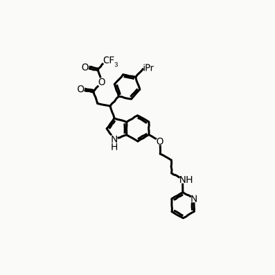 CC(C)c1ccc(C(CC(=O)OC(=O)C(F)(F)F)c2c[nH]c3cc(OCCCNc4ccccn4)ccc23)cc1